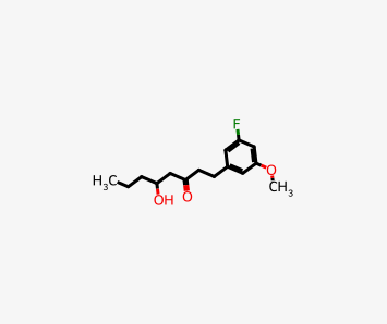 CCCC(O)CC(=O)CCc1cc(F)cc(OC)c1